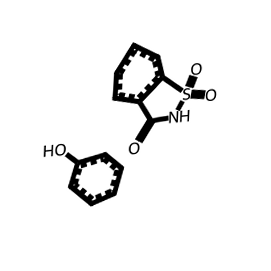 O=C1NS(=O)(=O)c2ccccc21.Oc1ccccc1